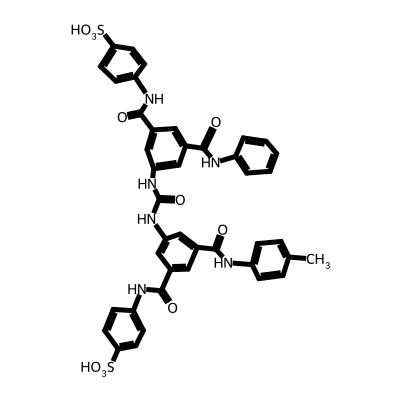 Cc1ccc(NC(=O)c2cc(NC(=O)Nc3cc(C(=O)Nc4ccccc4)cc(C(=O)Nc4ccc(S(=O)(=O)O)cc4)c3)cc(C(=O)Nc3ccc(S(=O)(=O)O)cc3)c2)cc1